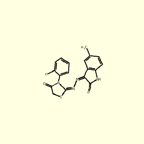 Cc1ccc2c(c1)C(=NN=C1SCC(=O)N1c1ccccc1Cl)C(=O)N2